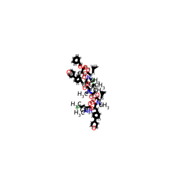 CN[C@@H](CC(C)(C)F)C(=O)O[C@H](Cc1ccc(C2CCOCC2)cc1)C(=O)N(C)[C@@H](CC1CC1)C(=O)O[C@H](C)C(=O)N(C)[C@@H](CC(C)(C)F)C(=O)O[C@H](Cc1ccc(C2CCOCC2)cc1)C(=O)N(C)[C@@H](CC1CC1)C(=O)O[C@H](C)C(=O)OCc1ccccc1